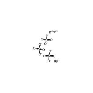 O=S(=O)([O-])[O-].O=S(=O)([O-])[O-].O=S(=O)([O-])[O-].[Fe+3].[K+].[K+].[K+]